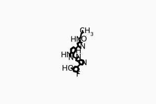 CCCC(=O)Nc1cncc(-c2ccc3[nH]nc(-c4cc5c(-c6cc(O)cc(F)c6)cncc5[nH]4)c3c2)c1